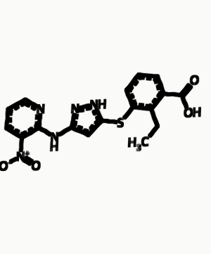 CCc1c(Sc2cc(Nc3ncccc3[N+](=O)[O-])n[nH]2)cccc1C(=O)O